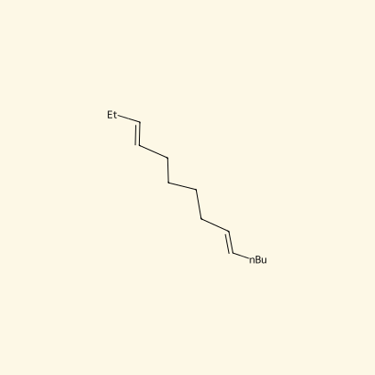 [CH2]CC=CCCCCC=CCCCC